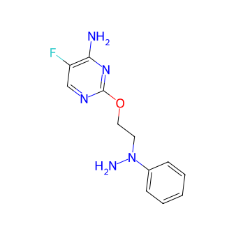 Nc1nc(OCCN(N)c2ccccc2)ncc1F